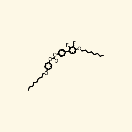 CCCCCCCCOc1ccc(OC(=O)Oc2ccc(-c3ccc(OCCCCCCCC)c(F)c3F)cc2)cc1